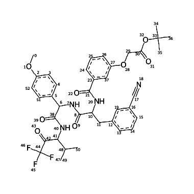 COc1ccc(C(NC(=O)C(Cc2cccc(C#N)c2)NC(=O)c2cccc(OCC(=O)OC(C)(C)C)c2)C(=O)NC(C(=O)C(F)(F)F)C(C)C)cc1